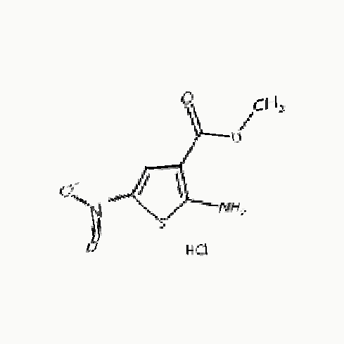 COC(=O)c1cc([N+](=O)[O-])sc1N.Cl